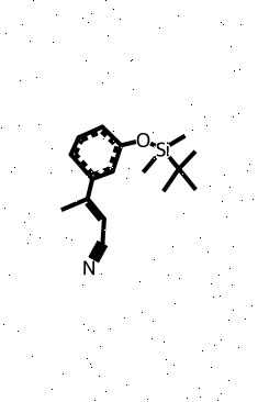 CC(=CC#N)c1cccc(O[Si](C)(C)C(C)(C)C)c1